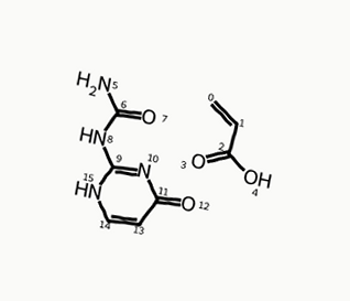 C=CC(=O)O.NC(=O)Nc1nc(=O)cc[nH]1